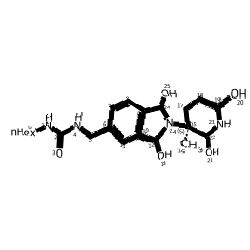 CCCCCCNC(=O)NCc1ccc2c(c1)C(O)N([C@@]1(C)CCC(O)NC1O)C2O